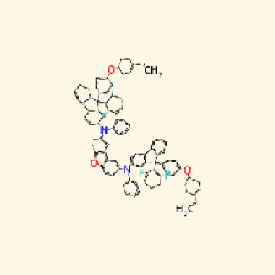 C=CC1=CCC(OC2=CCC(C3(C4C(F)C=CCC4F)C4CCC=CC4C4C=CC(N(C5=Cc6c(oc7ccc(N(c8ccccc8)c8ccc9c(c8)C(C8=C(F)CCC=C8F)(c8ccc(OC%10C=CC(C=C)=CC%10)cc8)c8ccccc8-9)cc67)CC5)c5ccccc5)CC43)C=C2)C=C1